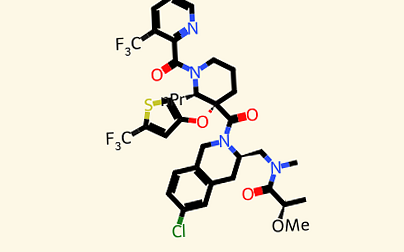 CCC[C@H]1N(C(=O)c2ncccc2C(F)(F)F)CCC[C@@]1(Oc1csc(C(F)(F)F)c1)C(=O)N1Cc2ccc(Cl)cc2C[C@@H]1CN(C)C(=O)[C@@H](C)OC